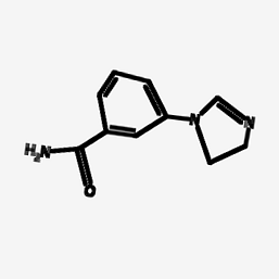 NC(=O)c1cccc(N2C=NCC2)c1